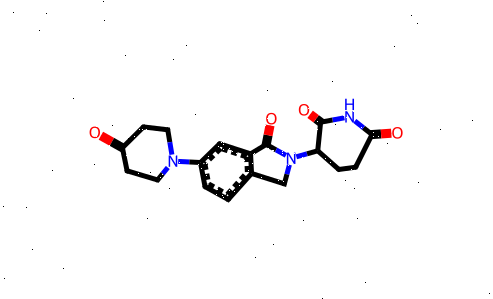 O=C1CCN(c2ccc3c(c2)C(=O)N(C2CCC(=O)NC2=O)C3)CC1